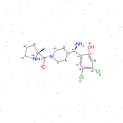 C[C@]1(C(=O)N2CCC([C@@H](N)c3cc(Cl)c(Cl)cc3O)CC2)CCCN1